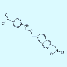 CCN(CC)Cc1ccc2cc(COCNc3ccc(C(=O)Cl)cc3)ccc2c1